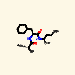 CSCC[C@@H](C=O)NC(=O)[C@H](CC1CCCCC1)NC(=O)[C@@H](NC(C)=O)C(C)(C)C